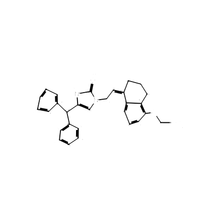 O=C(O)COc1cccc2c1CCC/C2=C/Cn1cc(C(c2ccccc2)c2ccccc2)[nH]c1=O